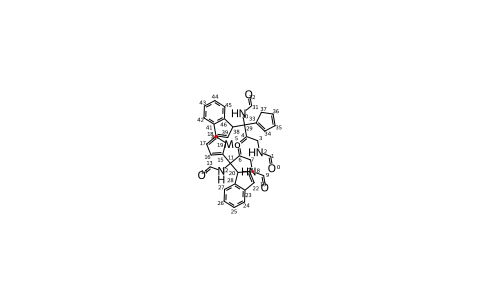 O=CNC[C](=[Mo]=[C](CNC=O)C(NC=O)(C1=CC=CC1)C1C=Cc2ccccc21)C(NC=O)(C1=CC=CC1)C1C=Cc2ccccc21